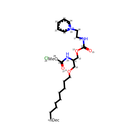 CCCCCCCCCCCCCCCCCCOCC(COC(=O)NCC[n+]1ccccc1)NC(=O)OC.[Cl-]